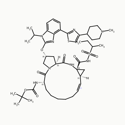 CCC(C)S(=O)(=O)NC(=O)[C@@]12C[C@H]1/C=C\CCCCC[C@H](NC(=O)OC(C)(C)C)C(=O)N1C[C@H](Oc3nc4c(-c5nc(C6CCN(C)CC6)cs5)cccc4n3C(C)C)C[C@H]1C(=O)N2